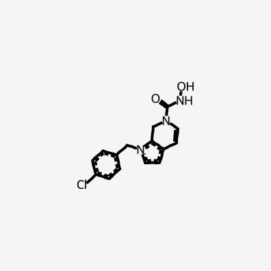 O=C(NO)N1C=Cc2ccn(Cc3ccc(Cl)cc3)c2C1